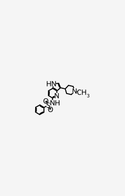 CN1CCC(c2c[nH]c3ccc(NS(=O)(=O)c4ccccc4)nc23)CC1